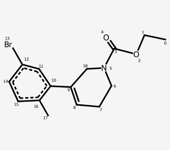 CCOC(=O)N1CCC=C(c2cc(Br)ccc2C)C1